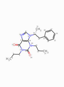 CCCn1c(=O)c2ncn([C@H](C)Cc3ccccc3)c2n(CCC)c1=O